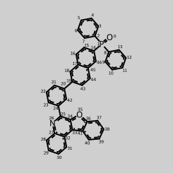 O=P(c1ccccc1)(c1ccccc1)c1ccc2cc(-c3cccc(-c4nc5ccccc5c5c4oc4ccccc45)c3)ccc2c1